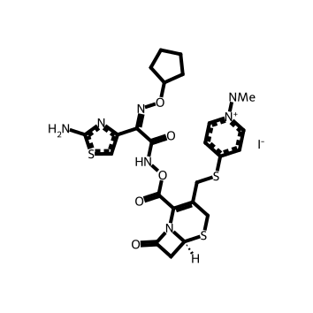 CN[n+]1ccc(SCC2=C(C(=O)ONC(=O)/C(=N\OC3CCCC3)c3csc(N)n3)N3C(=O)C[C@@H]3SC2)cc1.[I-]